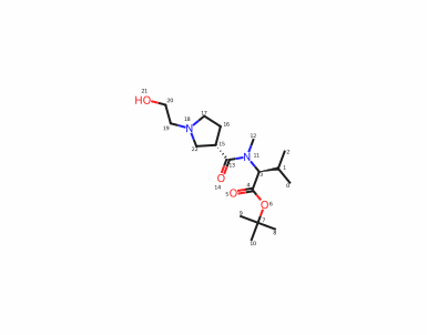 CC(C)[C@@H](C(=O)OC(C)(C)C)N(C)C(=O)[C@H]1CCN(CCO)C1